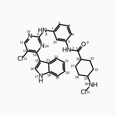 O=C(Nc1cccc(Nc2ncc(Cl)c(-c3c[nH]c4ccccc34)n2)c1)C1CCC(NCl)CC1